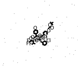 COc1ccc([C@H](NC(=O)[C@H](Cc2cccc(Cl)c2)NC(=O)c2ccc(OCC(=O)OC(C)(C)C)cn2)C(=O)N[C@H](C(=O)C(F)(F)F)C(C)C)cc1